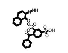 N=[N+]=C1C=Cc2ccccc2C1=O.O=C(c1ccccc1)c1ccc(S(=O)(=O)O)cc1S(=O)(=O)[O-]